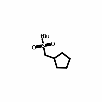 CC(C)(C)S(=O)(=O)CC1CCCC1